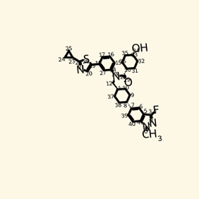 Cn1nc(F)c2cc([C@H]3CC[C@H](CN(c4cccc(-c5cnc(C6CC6)s5)c4)C(=O)[C@H]4CC[C@H](O)CC4)CC3)ccc21